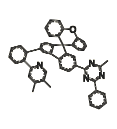 Cc1nc(-c2ccccc2)nc(-c2ccc3c(c2)C2(c4ccccc4Oc4ccccc42)c2ccc(-c4ccccc4-c4cc(C)c(C)cn4)cc2-3)n1